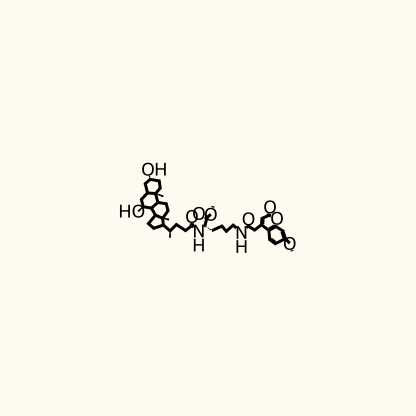 COC(=O)[C@H](CCCCNC(=O)Cc1cc(=O)oc2cc(OC)ccc12)NC(=O)CC[C@@H](C)C1CCC2C3C(CC[C@@]21C)[C@@]1(C)CC[C@@H](O)CC1C[C@@H]3O